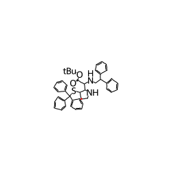 CC(C)(C)OC(=O)C(NCC(c1ccccc1)c1ccccc1)C1NCCC1SC(c1ccccc1)(c1ccccc1)c1ccccc1